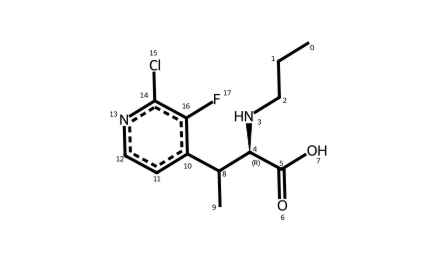 CCCN[C@@H](C(=O)O)C(C)c1ccnc(Cl)c1F